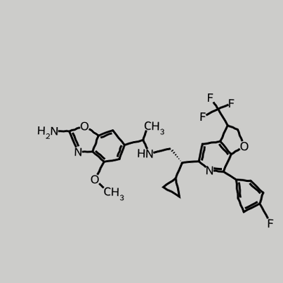 COc1cc(C(C)NC[C@H](c2cc3c(c(-c4ccc(F)cc4)n2)OCC3C(F)(F)F)C2CC2)cc2oc(N)nc12